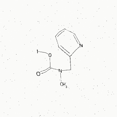 CN(Cc1ccccn1)C(=O)OI